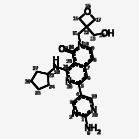 Nc1ncc(-c2cc3ccn(CC4(CO)COC4)c(=O)c3c(NC3CCCC3)n2)cn1